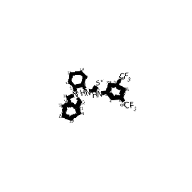 FC(F)(F)c1cc(NC(=S)NC2CCCCC2N2Cc3ccccc3C2)cc(C(F)(F)F)c1